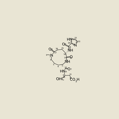 CN1CCC[C@@H](C(=O)N[C@H](C=O)CC(=O)O)NC(=O)[C@@H](NC(=O)c2ncc[nH]2)CCC1=O